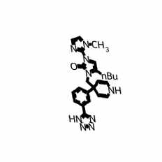 CCCCc1cn(-c2nccn2C)c(=O)n1CC1(c2cccc(-c3nnn[nH]3)c2)C=CNC=C1